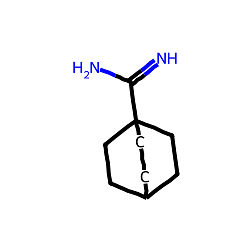 N=C(N)C12CCC(CC1)CC2